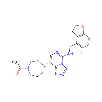 CC(=O)N1CCC[C@@H](c2cnc(NCc3c(F)ccc4c3CCO4)n3cnnc23)CC1